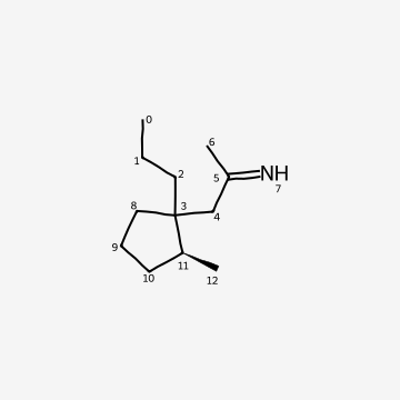 CCCC1(CC(C)=N)CCC[C@@H]1C